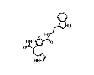 O=C1Nc2sc(C(=O)NCCc3c[nH]c4ccccc34)cc2/C1=C\c1ccc[nH]1